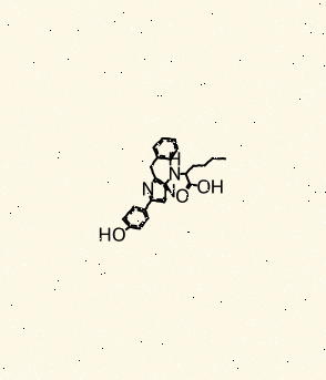 CCCCC(Nc1ncc(-c2ccc(O)cc2)nc1Cc1ccccc1)C(=O)O